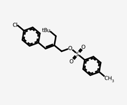 Cc1ccc(S(=O)(=O)OC/C(=C/c2ccc(Cl)cc2)CC(C)(C)C)cc1